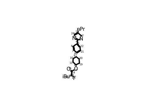 CCCc1cnc(-c2ccc([C@H]3CC[C@H](OC(=O)[C@@H](F)[C@@H](C)CC)CC3)cc2)nc1